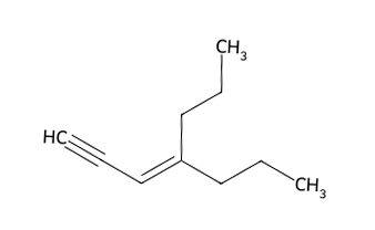 C#CC=C(CCC)CCC